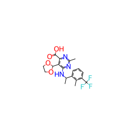 Cc1nc(NC(C)c2cccc(C(F)(F)F)c2C)c(C2OCCO2)c(C(=O)O)n1